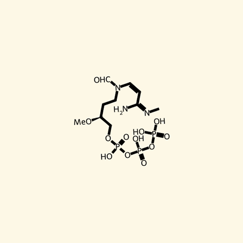 C/N=C(N)\C=C/N(C=O)CC[C@@H](COP(=O)(O)OP(=O)(O)OP(=O)(O)O)OC